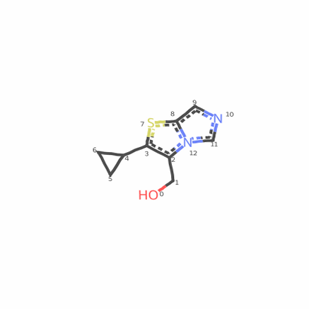 OCc1c(C2CC2)sc2cncn12